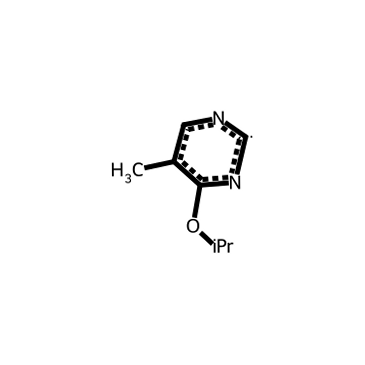 Cc1cn[c]nc1OC(C)C